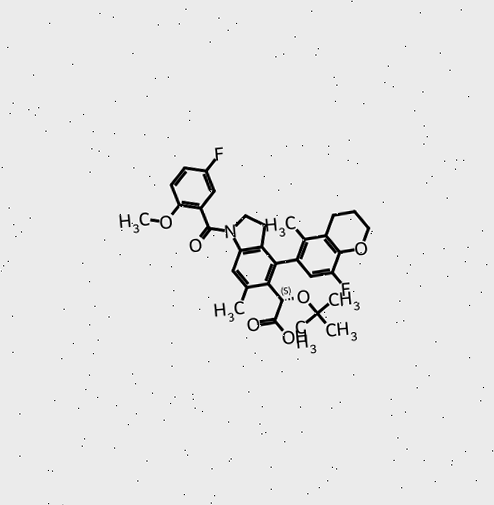 COc1ccc(F)cc1C(=O)N1CCc2c1cc(C)c([C@H](OC(C)(C)C)C(=O)O)c2-c1cc(F)c2c(c1C)CCCO2